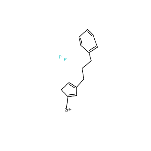 [F-].[F-].[Zr+2][C]1=CC(CCCc2ccccc2)=CC1